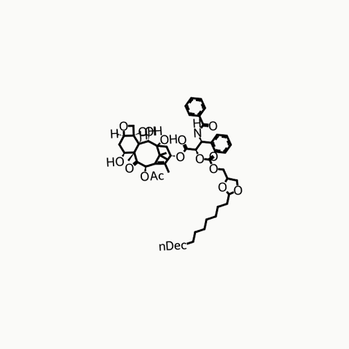 CCCCCCCCCCCCCCCCCC1OCC(COC(=O)O[C@@H](C(=O)O[C@H]2C[C@@]3(O)[C@@H](O)[C@@H]4[C@]5(O)CO[C@@H]5C[C@H](O)[C@@]4(C)C(=O)[C@H](OC(C)=O)C(=C2C)C3(C)C)[C@@H](NC(=O)c2ccccc2)c2ccccc2)O1